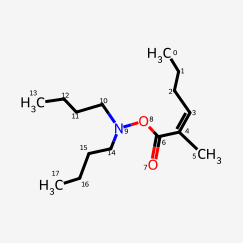 CCCC=C(C)C(=O)ON(CCCC)CCCC